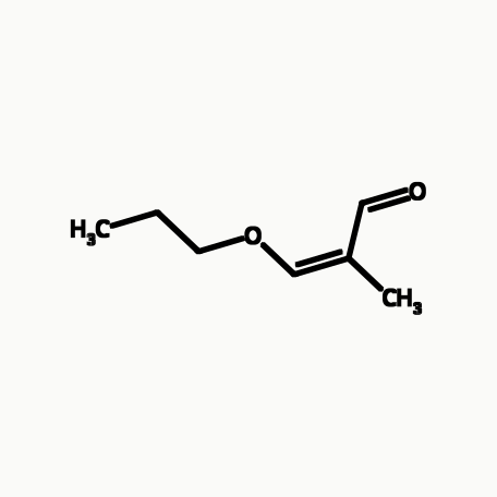 CCCOC=C(C)C=O